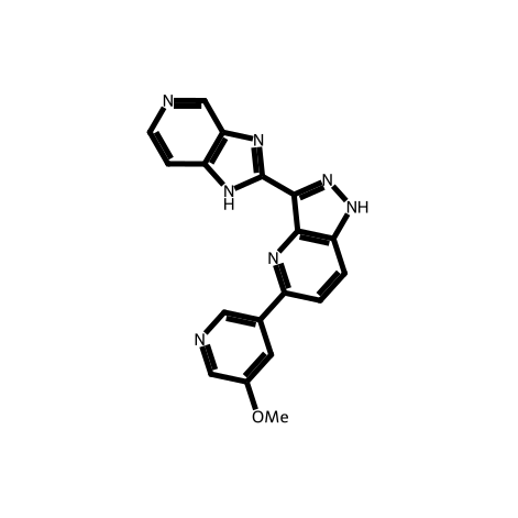 COc1cncc(-c2ccc3[nH]nc(-c4nc5cnccc5[nH]4)c3n2)c1